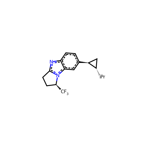 CC(C)[C@H]1C[C@@H]1c1ccc2nc3n(c2c1)[C@@H](C(F)(F)F)CC3